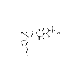 C/C=C(\C)c1cccc(-n2cc(C(=O)N[C@H](C)c3cccc(C(F)(F)CO)c3F)ccc2=O)c1